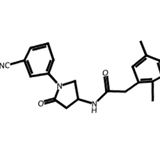 Cc1ccc(C)c(CC(=O)NC2CC(=O)N(c3cccc(C#N)c3)C2)c1